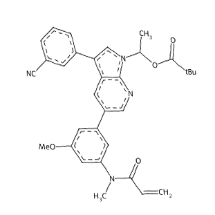 C=CC(=O)N(C)c1cc(OC)cc(-c2cnc3c(c2)c(-c2cccc(C#N)c2)cn3C(C)OC(=O)C(C)(C)C)c1